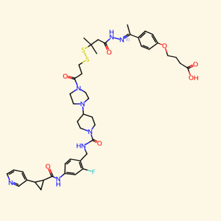 C/C(=N\NC(=O)CC(C)(C)SSCCC(=O)N1CCN(C2CCN(C(=O)NCc3ccc(NC(=O)C4CC4c4cccnc4)cc3F)CC2)CC1)c1ccc(OCCCC(=O)O)cc1